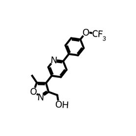 Cc1onc(CO)c1-c1ccc(-c2ccc(OC(F)(F)F)cc2)nc1